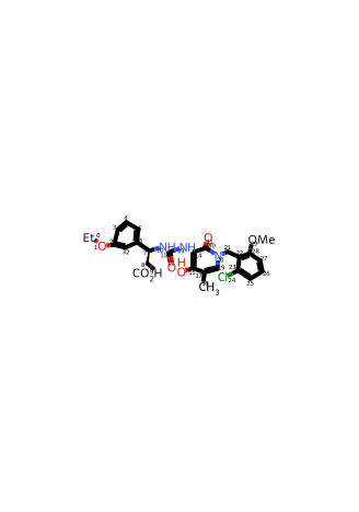 CCOc1cccc([C@H](CC(=O)O)NC(=O)Nc2c(O)c(C)cn(Cc3c(Cl)cccc3OC)c2=O)c1